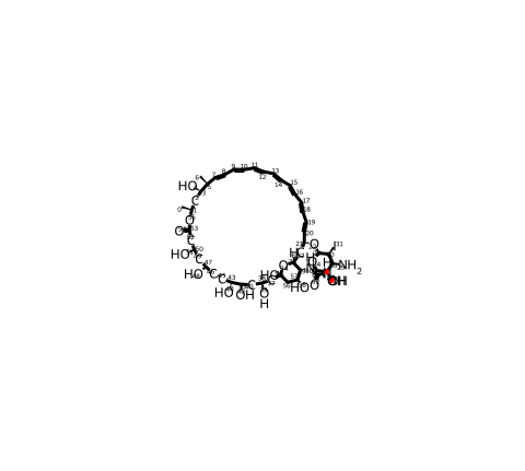 C[C@H]1C[C@H](O)[C@@H](C)/C=C/C=C/C=C/C=C/C=C/C=C/C=C/[C@H](O[C@@H]2OC[C@@H](O)[C@H](N)[C@@H]2I)C[C@@H]2O[C@](O)(C[C@@H](O)C[C@@H](O)[C@H](O)CC[C@@H](O)C[C@@H](O)CC(=O)O1)C[C@H](O)[C@H]2NC(=O)NO